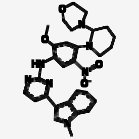 COc1cc(N2CCCCC2N2CCOCC2)c([N+](=O)[O-])cc1Nc1nccc(-c2cn(C)c3ccccc23)n1